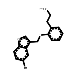 CCOC(=O)CCc1ccccc1OCc1coc2ccc(Br)cc12